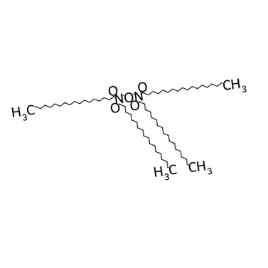 CCCCCCCCCCCCCCCCCC(=O)N(COCN(C(=O)CCCCCCCCCCCCCCCCC)C(=O)CCCCCCCCCCCCCCCCC)C(=O)CCCCCCCCCCCCCCCCC